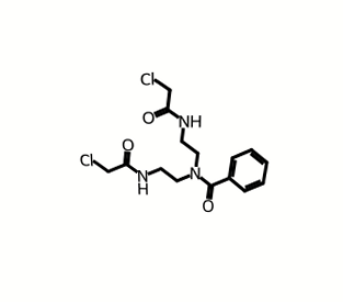 O=C(CCl)NCCN(CCNC(=O)CCl)C(=O)c1ccccc1